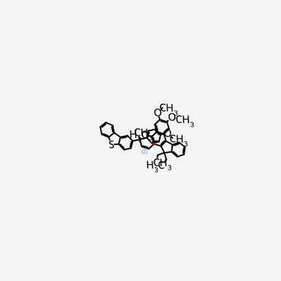 CCC1(CC)c2ccccc2-c2c1c(/C=C\C(C)(c1ccc(OC)cc1)c1ccc3sc4ccccc4c3c1)c(C)c1cc(OC)c(OC)cc21